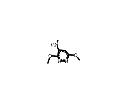 CNc1cc(OC)nnc1OC